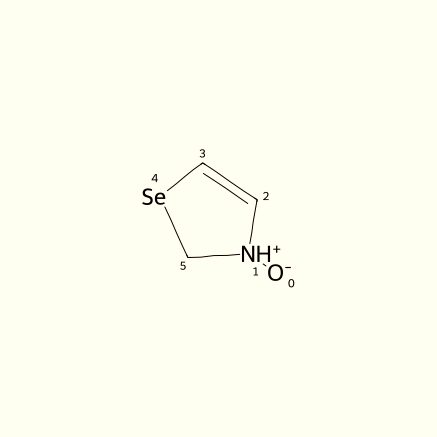 [O-][NH+]1C=C[Se]C1